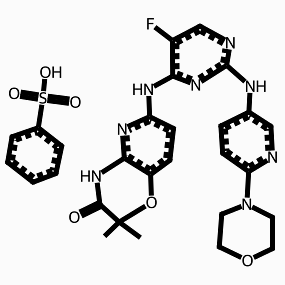 CC1(C)Oc2ccc(Nc3nc(Nc4ccc(N5CCOCC5)nc4)ncc3F)nc2NC1=O.O=S(=O)(O)c1ccccc1